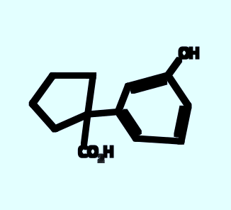 O=C(O)C1(c2cccc(O)c2)CCCC1